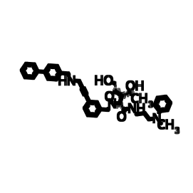 C[C@@H](O)[C@H]1[C@@H](CO)ON(Cc2cccc(C#CCNCc3ccc(-c4ccccc4)cc3)c2)[C@H]1C(=O)NCCCN(C)c1ccccc1